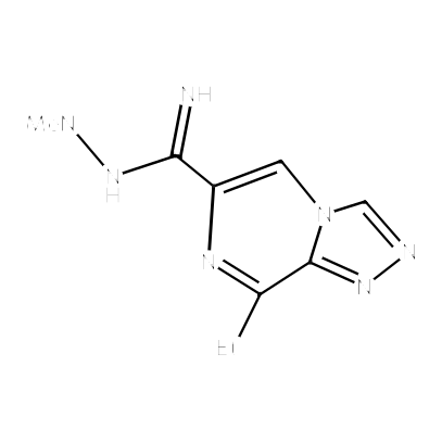 CCc1nc(C(=N)NNC)cn2cnnc12